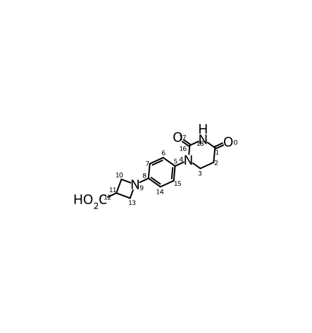 O=C1CCN(c2ccc(N3CC(C(=O)O)C3)cc2)C(=O)N1